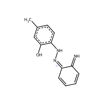 Cc1ccc(N/N=C2/C=CC=CC2=N)c(O)c1